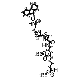 CC(C)(C)OC(=O)NCCCCN(CCCNC(=O)c1csc(-c2csc(CCNC(=O)OCC3c4ccccc4-c4ccccc43)n2)n1)C(=O)OC(C)(C)C